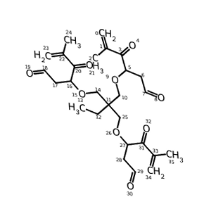 C=C(C)C(=O)C(CC=O)OCC(CC)(COC(CC=O)C(=O)C(=C)C)COC(CC=O)C(=O)C(=C)C